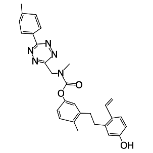 C=Cc1ccc(O)cc1CCc1cc(OC(=O)N(C)Cc2nnc(-c3ccc(C)cc3)nn2)ccc1C